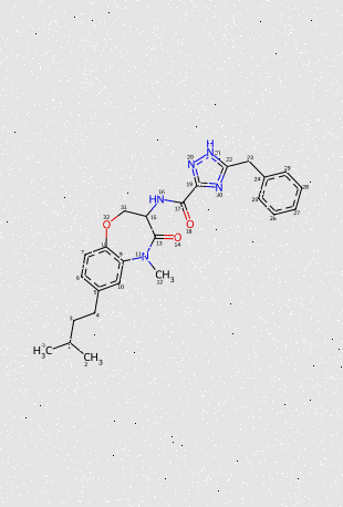 CC(C)CCc1ccc2c(c1)N(C)C(=O)C(NC(=O)c1n[nH]c(Cc3ccccc3)n1)CO2